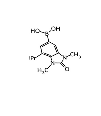 CC(C)c1cc(B(O)O)cc2c1n(C)c(=O)n2C